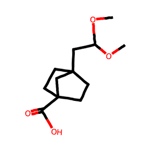 COC(CC12CCC(C(=O)O)(CC1)C2)OC